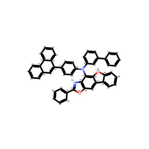 c1ccc(-c2cccc(N(c3ccc(-c4cc5ccccc5c5ccccc45)cc3)c3c4nc(-c5ccccc5)oc4cc4c3oc3ccccc34)c2)cc1